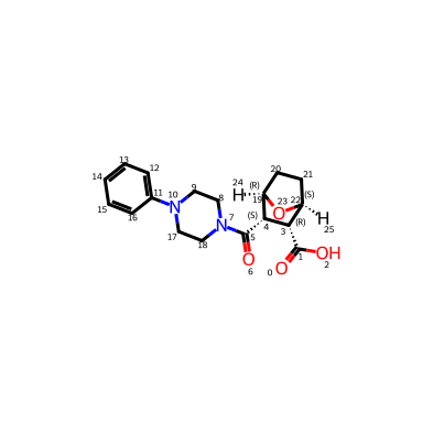 O=C(O)[C@@H]1[C@H](C(=O)N2CCN(c3ccccc3)CC2)[C@H]2CC[C@@H]1O2